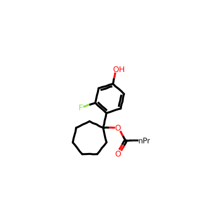 CCCC(=O)OC1(c2ccc(O)cc2F)CCCCCC1